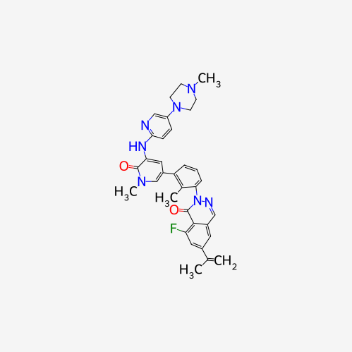 C=C(C)c1cc(F)c2c(=O)n(-c3cccc(-c4cc(Nc5ccc(N6CCN(C)CC6)cn5)c(=O)n(C)c4)c3C)ncc2c1